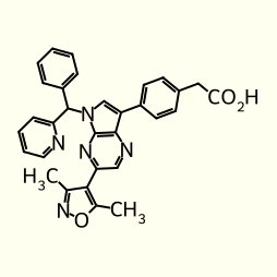 Cc1noc(C)c1-c1cnc2c(-c3ccc(CC(=O)O)cc3)cn(C(c3ccccc3)c3ccccn3)c2n1